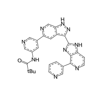 CC(C)(C)C(=O)Nc1cncc(-c2cc3c(-c4nc5c(-c6cccnc6)nccc5[nH]4)n[nH]c3cn2)c1